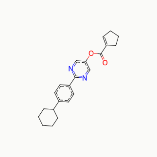 O=C(Oc1cnc(-c2ccc(C3CCCCC3)cc2)nc1)C1=CCCC1